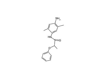 Cc1cc(NC(=O)C(C)Oc2ccccc2)c(C)cc1N